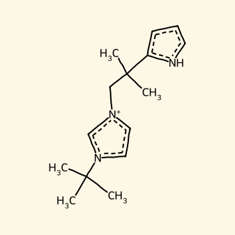 CC(C)(C[n+]1ccn(C(C)(C)C)c1)c1ccc[nH]1